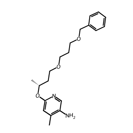 Cc1cc(O[C@H](C)CCOCCCOCc2ccccc2)ncc1N